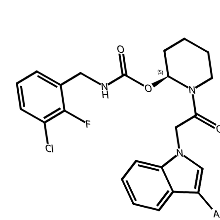 CC(=O)c1cn(CC(=O)N2CCCC[C@@H]2OC(=O)NCc2cccc(Cl)c2F)c2ccccc12